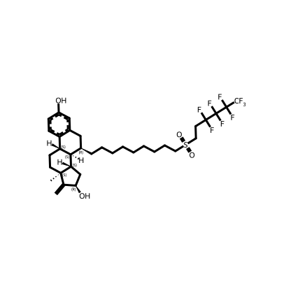 C=C1[C@H](O)C[C@H]2[C@@H]3[C@H](CCCCCCCCCS(=O)(=O)CCC(F)(F)C(F)(F)C(F)(F)C(F)(F)F)Cc4cc(O)ccc4[C@H]3CC[C@]12C